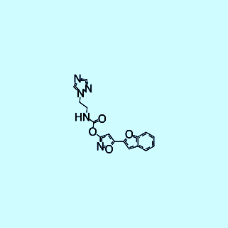 O=C(NCCn1cncn1)Oc1cc(-c2cc3ccccc3o2)on1